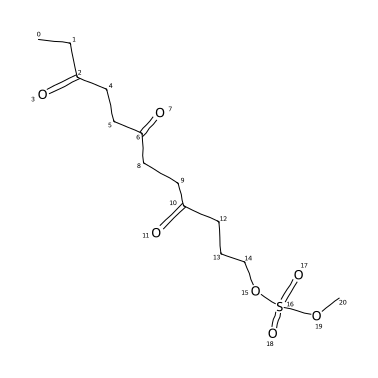 CCC(=O)CCC(=O)CCC(=O)CCCOS(=O)(=O)OC